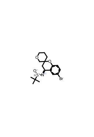 CC(C)(C)[S@@+]([O-])/N=C1\CC2(CCCOC2)Oc2ccc(Br)cc21